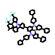 Cc1ccc(-c2cc(C(F)(F)F)ccc2-n2c3ccccc3c3cc(-c4cc5c6c(c4)N(c4ccc(-c7ccccc7)cc4)c4ccc(-c7ccccc7)cc4B6c4cc(-c6ccccc6)ccc4N5c4ccc(-c5ccccc5)cc4)ccc32)c(C(F)(F)F)c1